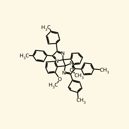 COc1ccccc1C1(C2(c3ccccc3OC)N=C(c3ccc(C)cc3)C(c3ccc(C)cc3)=N2)N=C(c2ccc(C)cc2)C(c2ccc(C)cc2)=N1